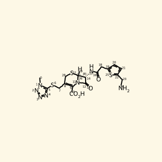 Cn1nnnc1SCC1=C(C(=O)O)N2C(=O)[C@@H](NC(=O)Cc3ccc(CN)s3)[C@H]2SC1